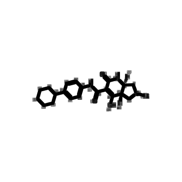 CCN1C[C@@H]2NC(=O)C(C(=O)Nc3ccc(C4CCCCC4)cc3)=C(O)[C@H]2C1